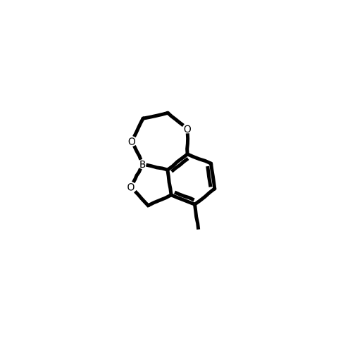 Cc1ccc2c3c1COB3OCCO2